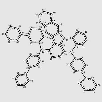 c1ccc(-c2ccc(N(c3ccccc3)c3ccc(N(c4ccc(-c5ccccc5)cc4)c4cccc(-c5ccccc5)c4)c4c3sc3cc5ccccc5cc34)cc2)cc1